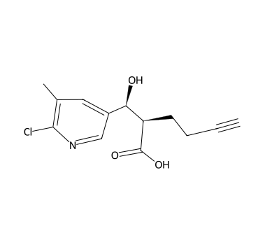 C#CCC[C@@H](C(=O)O)[C@H](O)c1cnc(Cl)c(C)c1